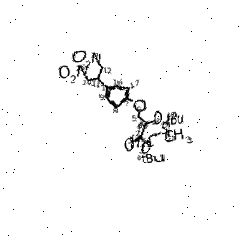 CC(C)(C)OC(=O)[C@@H](COc1ccc(C(C[N+](=O)[O-])C[N+](=O)[O-])cc1)O[Si](C)(C)C(C)(C)C